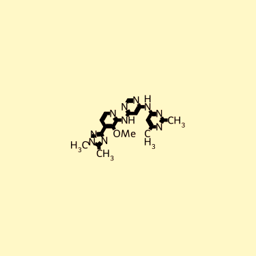 COc1c(-c2nc(C)n(C)n2)ccnc1Nc1cc(Nc2cc(C)nc(C)n2)ncn1